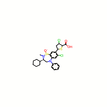 CN1[C@H](C2CCCCC2)CN(c2ccccc2)c2cc(Cl)c(C3CC(Cl)C(C(=O)O)S3)cc2[S+]1[O-]